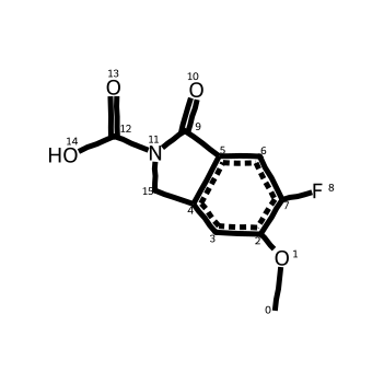 COc1cc2c(cc1F)C(=O)N(C(=O)O)C2